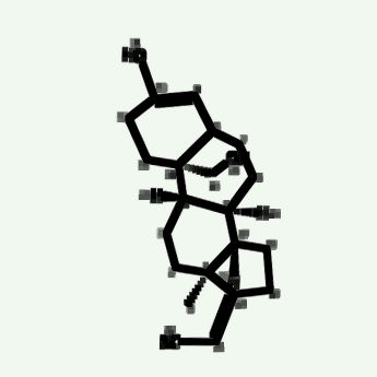 C[C@]12CC[C@H]3[C@@H](CCC4C=C(O)CC[C@@]43CO)[C@@H]1CC/C2=C/C#N